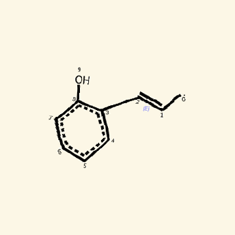 [CH2]/C=C/c1ccccc1O